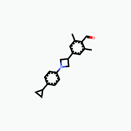 Cc1cc(C2CN(c3ccc(C4CC4)cc3)C2)cc(C)c1C=O